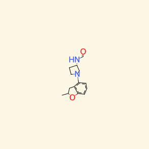 CC1Cc2c(cccc2N2CC[C@H](NC=O)C2)O1